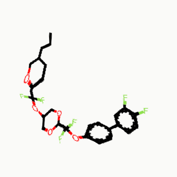 CCCC1CCC(C(F)(F)OC2COC(C(F)(F)Oc3ccc(-c4ccc(F)c(F)c4)cc3)OC2)OC1